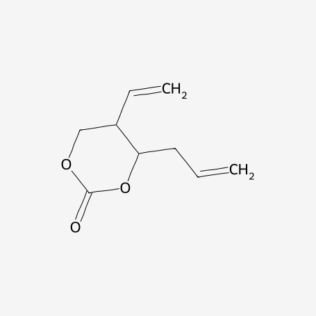 C=CCC1OC(=O)OCC1C=C